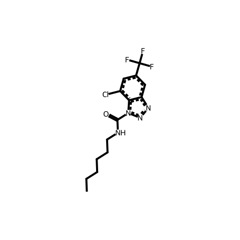 CCCCCCNC(=O)n1nnc2cc(C(F)(F)F)cc(Cl)c21